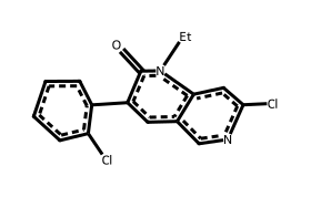 CCn1c(=O)c(-c2ccccc2Cl)cc2cnc(Cl)cc21